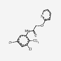 O=C(COc1ccccn1)Nc1cc(Cl)cc(Cl)c1C(Cl)(Cl)Cl